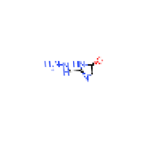 NNCC1=NCC(=O)N1